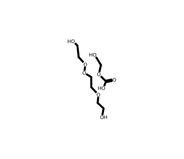 O=C(O)OCO.OCCOCCOOCCO